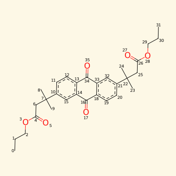 CCCOC(=O)CC(C)(C)c1ccc2c(c1)C(=O)c1ccc(C(C)(C)CC(=O)OCCC)cc1C2=O